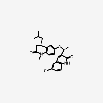 CC(C)C[C@@H]1CC(=O)N(C)c2ccc(N[C@@H](C)c3cc4cc(Cl)ccc4[nH]c3=O)cc21